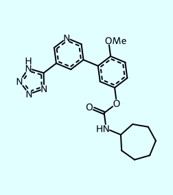 COc1ccc(OC(=O)NC2CCCCCC2)cc1-c1cncc(-c2nnn[nH]2)c1